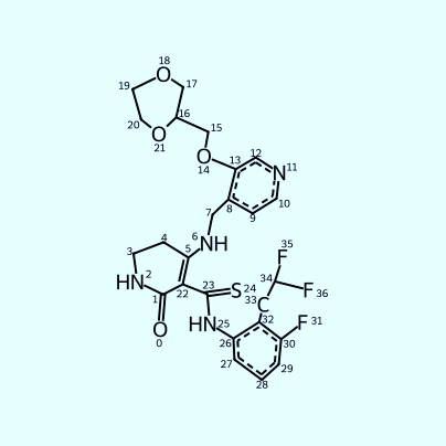 O=C1NCCC(NCc2ccncc2OCC2COCCO2)=C1C(=S)Nc1cccc(F)c1CC(F)F